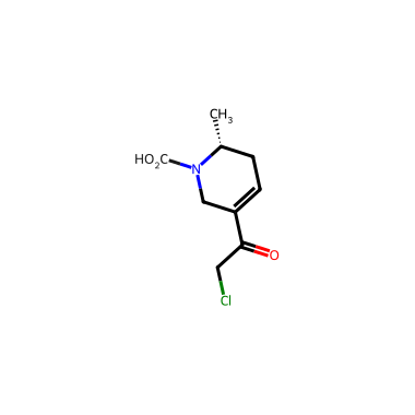 C[C@@H]1CC=C(C(=O)CCl)CN1C(=O)O